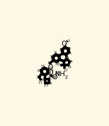 COc1ccc(F)c(-c2ccc(COc3ccc4c(c3)[C@]3(CC4)CC[C@H]3C(=O)ON)cc2C2=CCCC2(C)C)c1